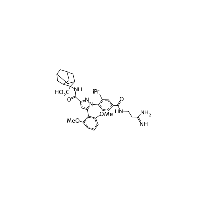 COc1cccc(OC)c1-c1cc(C(=O)NC2(C(=O)O)C3CC4CC(C3)CC2C4)nn1-c1ccc(C(=O)NCCC(=N)N)cc1C(C)C